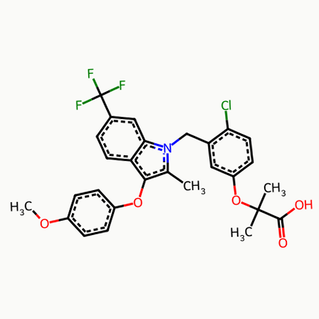 COc1ccc(Oc2c(C)n(Cc3cc(OC(C)(C)C(=O)O)ccc3Cl)c3cc(C(F)(F)F)ccc23)cc1